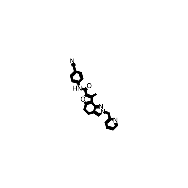 Cc1c(C(=O)Nc2ccc(C#N)cc2)oc2c1-c1nn(Cc3ccccn3)cc1CC2